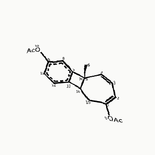 CC(=O)OC1=CC=C[C@@]2(C)c3cc(OC(C)=O)ccc3C2C1